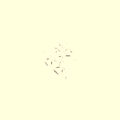 CN[C@H](c1ncc(C)cn1)[C@@H](C)S(=O)(=O)Nc1nnc(-c2cccc(OC)n2)n1-c1c(OC)cccc1OC